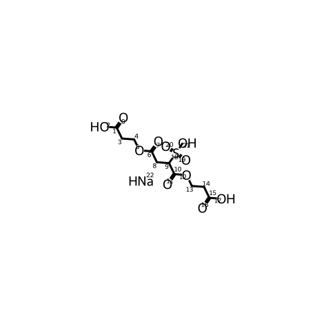 O=C(O)CCOC(=O)CC(C(=O)OCCC(=O)O)S(=O)(=O)O.[NaH]